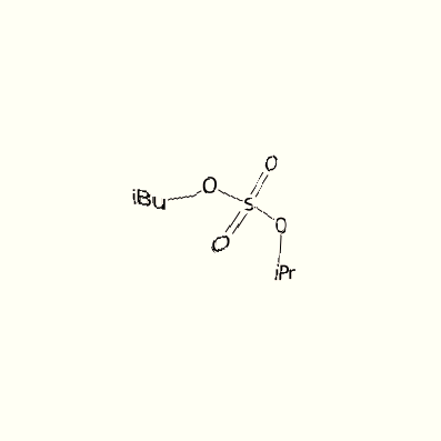 CCC(C)OS(=O)(=O)OC(C)C